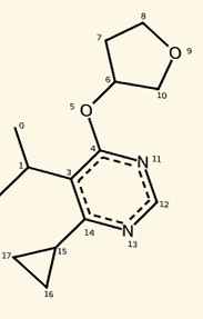 CC(C)c1c(OC2CCOC2)ncnc1C1CC1